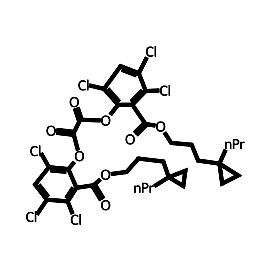 CCCC1(CCCOC(=O)c2c(Cl)c(Cl)cc(Cl)c2OC(=O)C(=O)Oc2c(Cl)cc(Cl)c(Cl)c2C(=O)OCCCC2(CCC)CC2)CC1